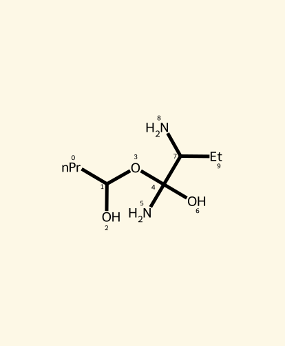 CCCC(O)OC(N)(O)C(N)CC